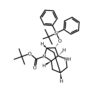 CC(C)(C)OC(=O)N1[C@H]2C[C@H]3CN[C@@H]2[C@@H](O[Si](c2ccccc2)(c2ccccc2)C(C)(C)C)[C@@H]1C3